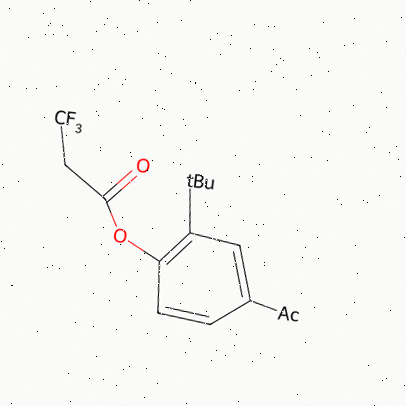 CC(=O)c1ccc(OC(=O)CC(F)(F)F)c(C(C)(C)C)c1